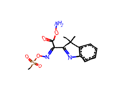 CC1(C)C(/C(=N/OS(C)(=O)=O)C(=O)ON)=Nc2ccccc21